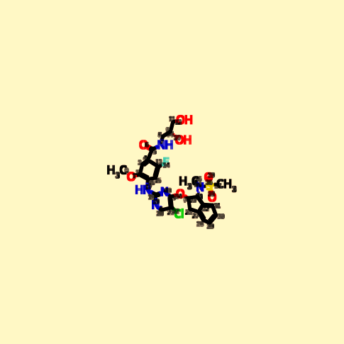 COc1cc(C(=O)NC[C@@H](O)CO)c(F)cc1Nc1ncc(Cl)c(O[C@@H]2Cc3ccccc3[C@H]2N(C)S(C)(=O)=O)n1